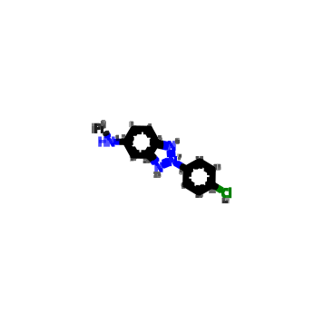 CC(C)Nc1ccc2nn(-c3ccc(Cl)cc3)nc2c1